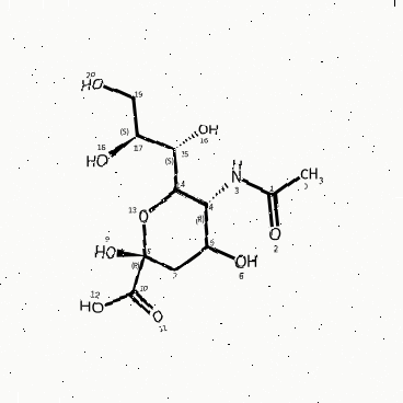 CC(=O)N[C@@H]1C(O)C[C@](O)(C(=O)O)OC1[C@@H](O)[C@@H](O)CO